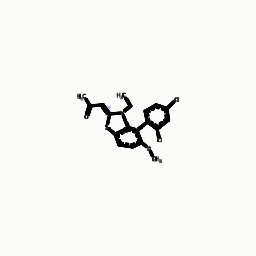 CCN1/C(=C/C(C)=O)Sc2ccc(OC)c(-c3ccc(Cl)cc3Cl)c21